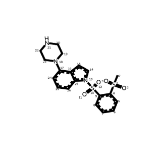 CS(=O)(=O)c1ccccc1S(=O)(=O)n1ccc2c(N3CCNCC3)cccc21